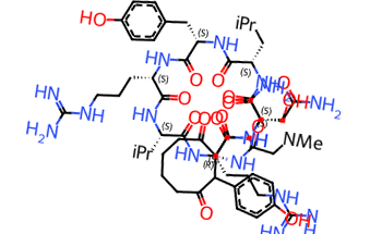 CNCC(=O)N[C@@]1(C(=O)N[C@@H](CC(N)=O)C(=O)N[C@@H](CC(C)C)C(=O)N[C@@H](Cc2ccc(O)cc2)C(=O)N[C@@H](CCCNC(=N)N)C(=O)N[C@H](C(=O)N[C@@H](CCCNC(=N)N)C(=O)N[C@@H](CO)C(N)=O)C(C)C)C(=O)CCCCC(=O)C1c1ccc(O)cc1